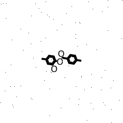 COc1cc(C)ccc1OC(=O)c1ccc(C)cc1